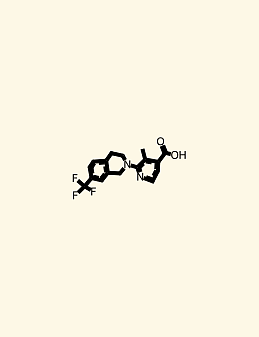 Cc1c(C(=O)O)ccnc1N1CCc2ccc(C(F)(F)F)cc2C1